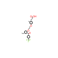 CCc1ccc(OCCCOc2ccc(CCC(=O)O)c(C)c2)c(C(=O)c2ccc(C(F)(F)F)cc2)c1